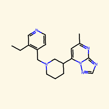 CCc1cnccc1CN1CCCC(c2cc(C)nc3ncnn23)C1